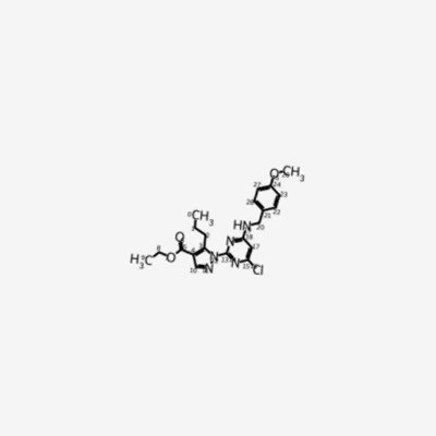 CCCc1c(C(=O)OCC)cnn1-c1nc(Cl)cc(NCc2ccc(OC)cc2)n1